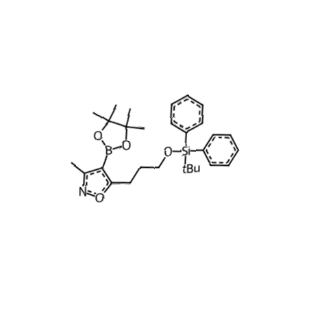 Cc1noc(CCCO[Si](c2ccccc2)(c2ccccc2)C(C)(C)C)c1B1OC(C)(C)C(C)(C)O1